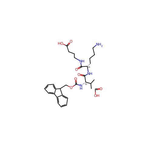 CC(C)[C@H](NC(=O)OCC1c2ccccc2-c2ccccc21)C(=O)N[C@@H](CCCCN)C(=O)NCCCC(=O)O.O=CO